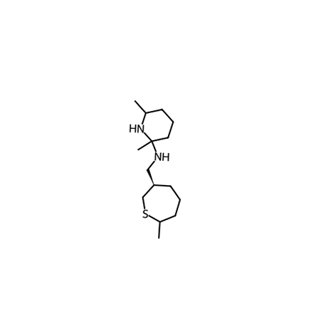 CC1CCCC(C)(NC[C@H]2CCCC(C)SC2)N1